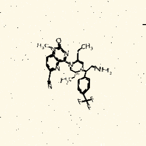 CCC1CN(C(CN)c2ccc(C(F)(F)F)cc2)[C@H](CC)CN1c1nc(=O)n(C)c2ccc(C#N)nc12